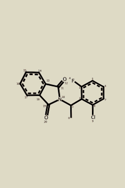 CC(c1c(F)cccc1Cl)N1C(=O)c2ccccc2C1=O